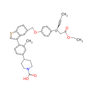 CC#C[C@@H](CC(=O)OCC)c1ccc(OCc2ccc3scc(-c4ccc(C5CCN(C(=O)O)CC5)cc4C)c3c2)cc1